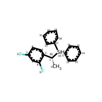 C[C@H](c1ccc(F)cc1F)[SiH](c1ccccc1)c1ccccc1